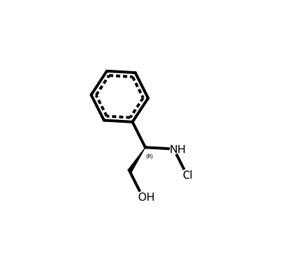 OC[C@H](NCl)c1ccccc1